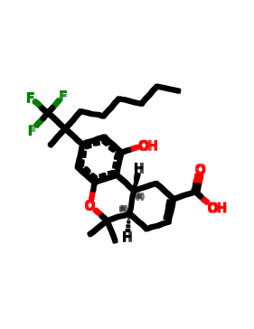 CCCCCCC(C)(c1cc(O)c2c(c1)OC(C)(C)[C@@H]1CC=C(C(=O)O)C[C@@H]21)C(F)(F)F